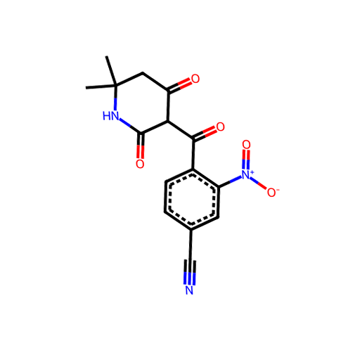 CC1(C)CC(=O)C(C(=O)c2ccc(C#N)cc2[N+](=O)[O-])C(=O)N1